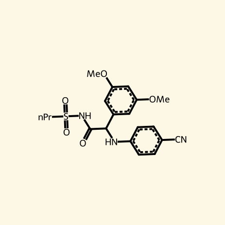 CCCS(=O)(=O)NC(=O)C(Nc1ccc(C#N)cc1)c1cc(OC)cc(OC)c1